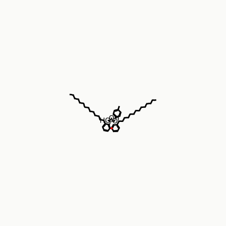 CCCCCCCCCCCCCCc1ccccc1P(O)(O)(Oc1ccc(C)cc1)c1ccccc1CCCCCCCCCCCCCC